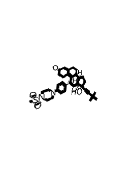 CC(C)(C)C#C[C@]1(O)CC[C@H]2[C@@H]3CCC4=CC(=O)CCC4=C3[C@@H](c3ccc(N4CCN(S(C)(=O)=O)CC4)cc3)C[C@@]21C